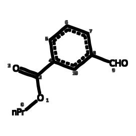 CCCOC(=O)c1cccc(C=O)c1